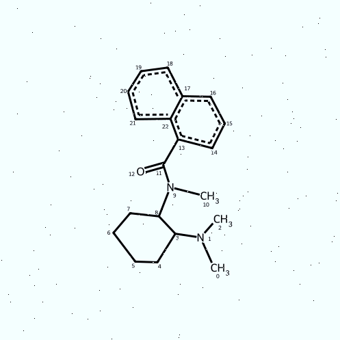 CN(C)C1CCCCC1N(C)C(=O)c1cccc2ccccc12